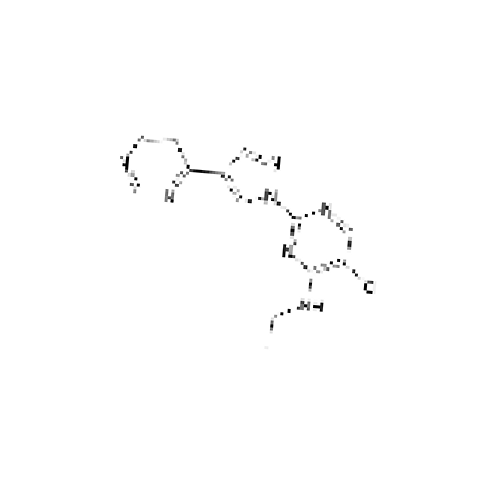 CCNc1nc(-n2cc(-c3ccncn3)cn2)ncc1Cl